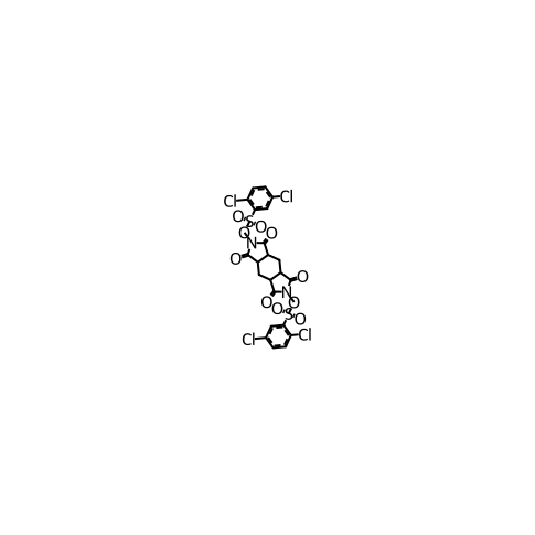 O=C1C2CC3C(=O)N(OS(=O)(=O)c4cc(Cl)ccc4Cl)C(=O)C3CC2C(=O)N1OS(=O)(=O)c1cc(Cl)ccc1Cl